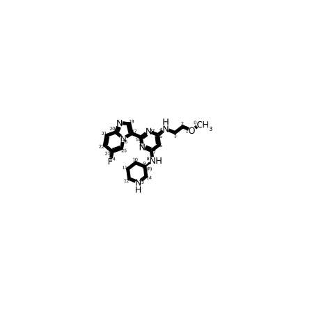 COCCNc1cc(N[C@@H]2CCCNC2)nc(-c2cnc3ccc(F)cn23)n1